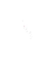 CCCCCC1CSB(C2CCC(OCCC)CC2)SC1